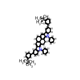 C[Si](C)(C)c1cccc(C2=Cc3c(n(-c4ccccc4)c4c5c6c(cc34)CCc3cc4c7cc(-c8cccc([Si](C)(C)C)c8)ccc7n(-c7ccccc7)c4c(c3-6)CC5)CC2)c1